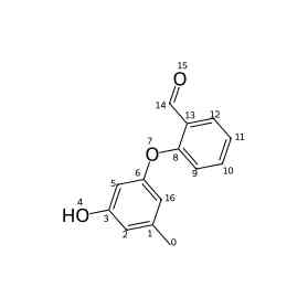 Cc1cc(O)cc(Oc2ccccc2C=O)c1